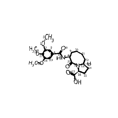 COc1cc(C(=O)N[C@H]2CCCC[C@H]3CC[C@@H](C(=O)O)N3C2=O)cc(OC)c1OC